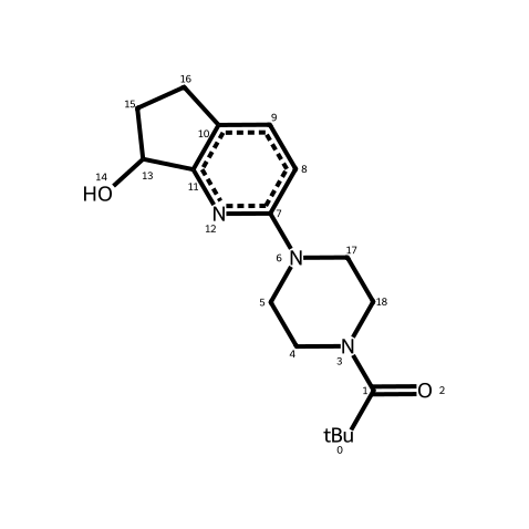 CC(C)(C)C(=O)N1CCN(c2ccc3c(n2)C(O)CC3)CC1